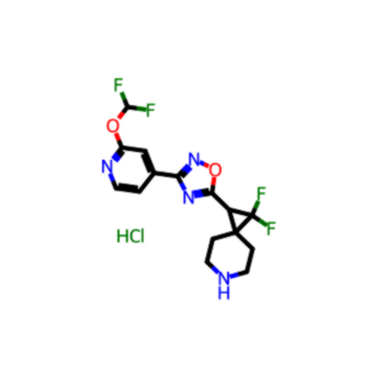 Cl.FC(F)Oc1cc(-c2noc(C3C(F)(F)C34CCNCC4)n2)ccn1